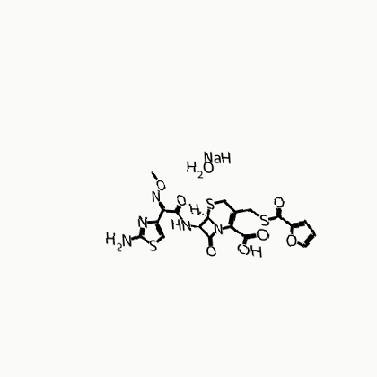 CO/N=C(\C(=O)N[C@@H]1C(=O)N2C(C(=O)O)=C(CSC(=O)c3ccco3)CS[C@H]12)c1csc(N)n1.O.[NaH]